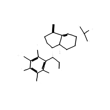 C=C1CC[C@@H](C(CC(C)C)c2c(O)c(C=O)c(O)c(C=O)c2O)[C@]2(C)CC[C@@H](C(C)(C)O)C=C12